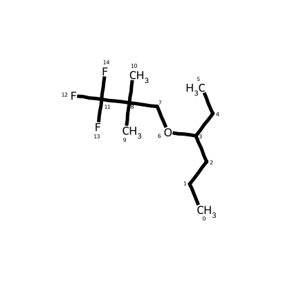 CCCC(CC)OCC(C)(C)C(F)(F)F